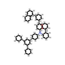 c1ccc(-c2cc(-c3ccccc3)cc(-c3ccc(N(c4ccc(-c5cccc(-c6cccc7ccccc67)c5)cc4)c4ccccc4-c4ccccc4)cc3)c2)cc1